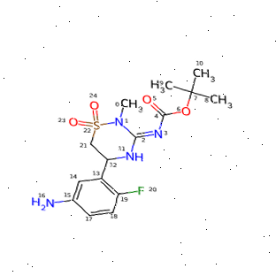 CN1/C(=N\C(=O)OC(C)(C)C)NC(c2cc(N)ccc2F)CS1(=O)=O